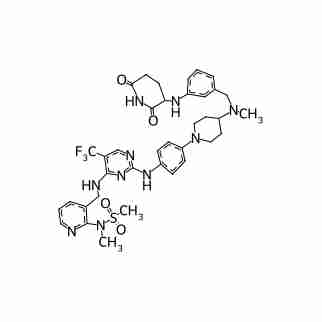 CN(Cc1cccc(NC2CCC(=O)NC2=O)c1)C1CCN(c2ccc(Nc3ncc(C(F)(F)F)c(NCc4cccnc4N(C)S(C)(=O)=O)n3)cc2)CC1